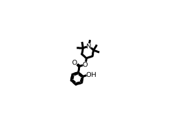 CN1C(C)(C)CC(OC(=O)c2ccccc2O)CC1(C)C